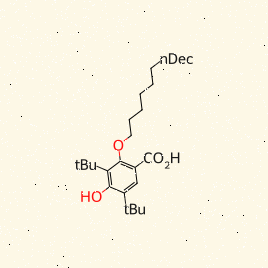 CCCCCCCCCCCCCCCCOc1c(C(=O)O)cc(C(C)(C)C)c(O)c1C(C)(C)C